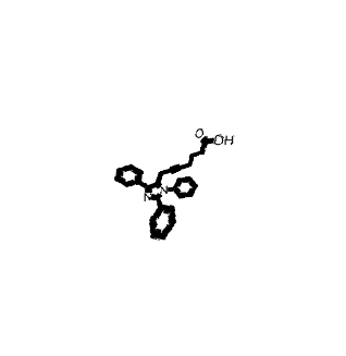 O=C(O)CCCC#CCc1c(-c2ccccc2)nc(-c2ccccc2)n1-c1ccccc1